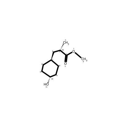 COC(=O)[C@@H](C)C[C@H]1CC[C@H](O)CC1